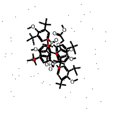 COC(=O)COc1c(Cl)ccc(P(=O)(c2cc(C(C)(C)C)c(OC)c(C(C)(C)C)c2)c2cc(C(C)(C)C)c(OC)c(C(C)(C)C)c2)c1-c1c(P(=O)(c2cc(C(C)(C)C)c(OC)c(C(C)(C)C)c2)c2cc(C(C)(C)C)c(OC)c(C(C)(C)C)c2)ccc(Cl)c1O